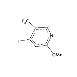 COc1cc(I)c(C(F)(F)F)cn1